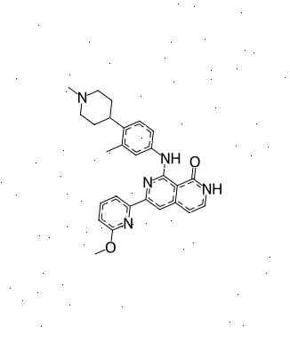 COc1cccc(-c2cc3cc[nH]c(=O)c3c(Nc3ccc(C4CCN(C)CC4)c(C)c3)n2)n1